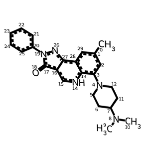 Cc1cc(N2CCC(N(C)C)CC2)c2[nH]cc3c(=O)n(-c4ccccc4)nc-3c2c1